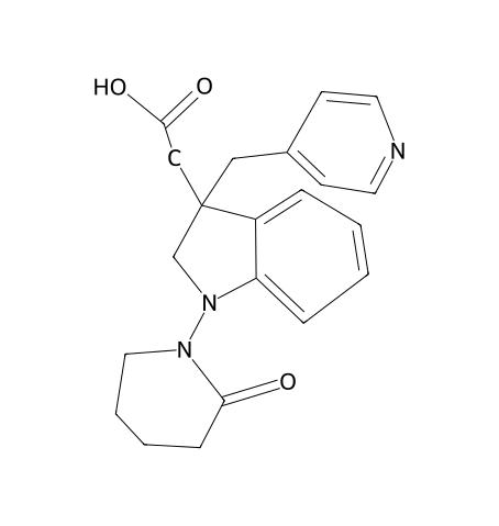 O=C(O)CC1(Cc2ccncc2)CN(N2CCCCC2=O)c2ccccc21